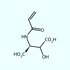 C=CC(=O)N[C@H](C(=O)O)C(O)C(=O)O